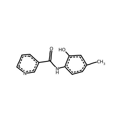 Cc1ccc(NC(=O)c2cccnc2)c(O)c1